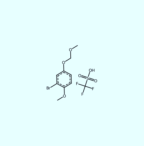 COCOc1ccc(OC)c(Br)c1.O=S(=O)(O)C(F)(F)F